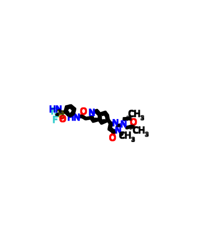 C[C@@H]1CN(c2nc(-c3ccc4cnc(CC(=O)Nc5cccc([S@@](=N)(=O)C(F)F)c5)cc4c3)cc(=O)n2C)C[C@H](C)O1